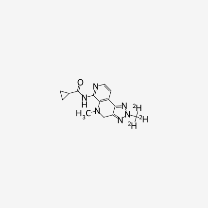 [2H]C([2H])([2H])n1nc2c(n1)-c1ccnc(NC(=O)C3CC3)c1N(C)C2